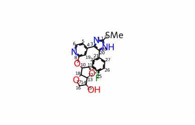 CSc1nc(-c2ccnc(OC3COC4C(O)COC34)c2)c(-c2ccc(F)cc2)[nH]1